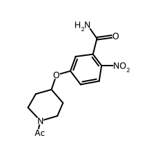 CC(=O)N1CCC(Oc2ccc([N+](=O)[O-])c(C(N)=O)c2)CC1